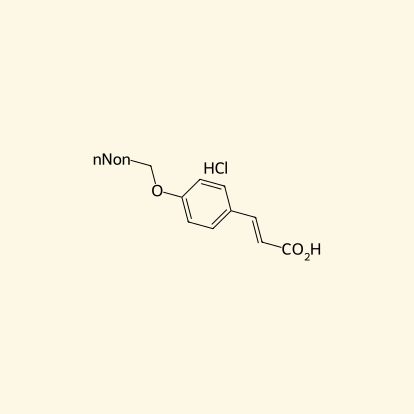 CCCCCCCCCCOc1ccc(C=CC(=O)O)cc1.Cl